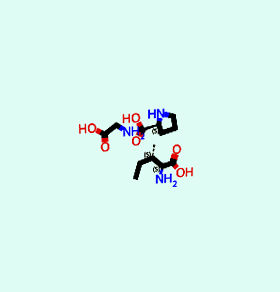 CC[C@H](C)[C@H](N)C(=O)O.NCC(=O)O.O=C(O)[C@@H]1CCCN1